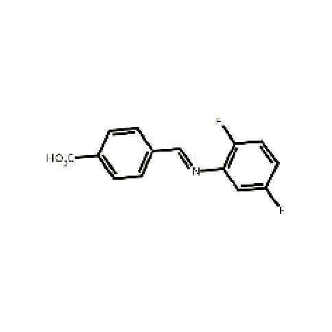 O=C(O)c1ccc(/C=N/c2cc(F)ccc2F)cc1